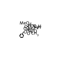 COC(F)C(=O)[C@H](CC(=O)O)N(C(=O)OCc1ccccc1)C(=O)[C@H](C)NC(=O)[C@@H](N)C(C)C